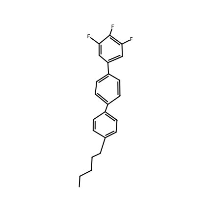 CCCCCc1ccc(-c2ccc(-c3cc(F)c(F)c(F)c3)cc2)cc1